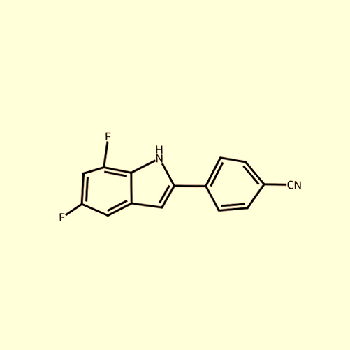 N#Cc1ccc(-c2cc3cc(F)cc(F)c3[nH]2)cc1